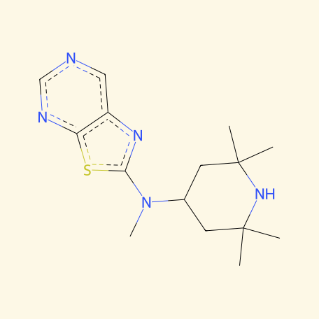 CN(c1nc2cncnc2s1)C1CC(C)(C)NC(C)(C)C1